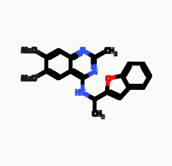 COc1cc2nc(C)nc(NC(C)c3cc4ccccc4o3)c2cc1OC